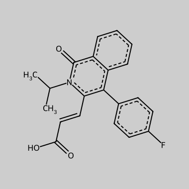 CC(C)n1c(C=CC(=O)O)c(-c2ccc(F)cc2)c2ccccc2c1=O